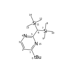 CC(C)(C)c1ccnc(C([Si](C)(C)C)[Si](C)(C)C)n1